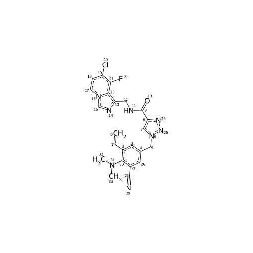 C=Cc1cc(Cn2cc(C(=O)NCc3ncn4ccc(Cl)c(F)c34)nn2)cc(C#N)c1N(C)C